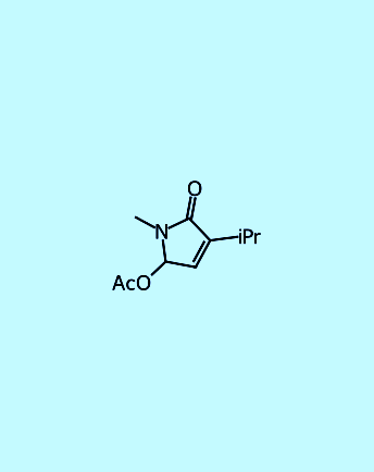 CC(=O)OC1C=C(C(C)C)C(=O)N1C